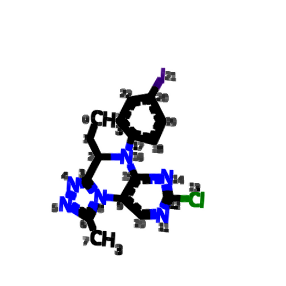 CCC1c2nnc(C)n2-c2cnc(Cl)nc2N1c1ccc(I)cc1